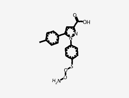 Cc1ccc(-c2cc(C(=O)O)nn2-c2ccc(SOON)cc2)cc1